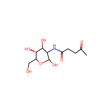 CC(=O)CCC(=O)NC1C(O)OC(CO)[C@@H](O)C1O